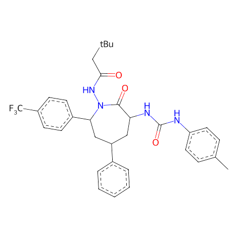 Cc1ccc(NC(=O)NC2CC(c3ccccc3)CC(c3ccc(C(F)(F)F)cc3)N(NC(=O)CC(C)(C)C)C2=O)cc1